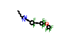 CCCCCc1cnc(C#CC2=CC(F)=C(C#Cc3cc(F)c(C(F)(F)Oc4cc(F)c(F)c(F)c4)c(F)c3)C(F)=CC2)nc1